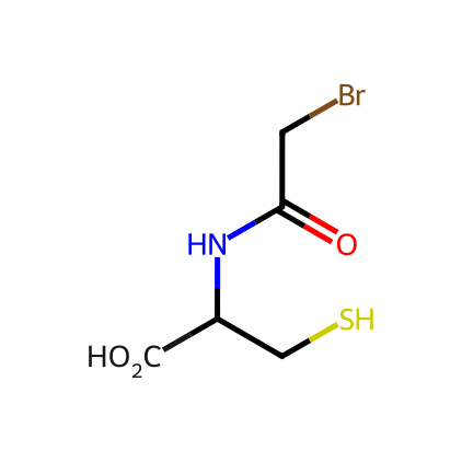 O=C(CBr)NC(CS)C(=O)O